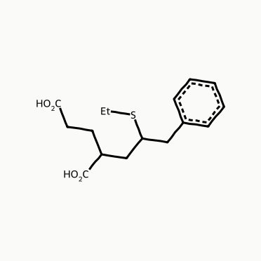 CCSC(Cc1ccccc1)CC(CCC(=O)O)C(=O)O